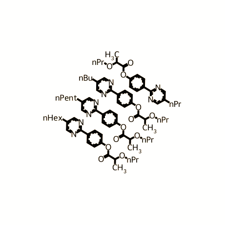 CCCCCCc1cnc(-c2ccc(OC(=O)C(C)OCCC)cc2)nc1.CCCCCc1cnc(-c2ccc(OC(=O)C(C)OCCC)cc2)nc1.CCCCc1cnc(-c2ccc(OC(=O)C(C)OCCC)cc2)nc1.CCCOC(C)C(=O)Oc1ccc(-c2ncc(CCC)cn2)cc1